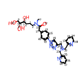 CN(CCC[C@H](O)[C@H](O)CO)C(=O)Cc1ccc(-n2cc(CN(Cc3ccccn3)Cc3ccccn3)nn2)cc1